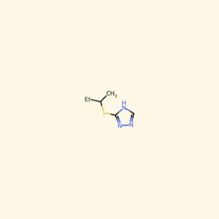 CCC(C)Sc1nnc[nH]1